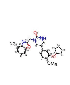 COc1ccc(C2CNC(=O)N(Cc3nc4c(C#N)cccc4o3)C2)cc1OC1CCCC1